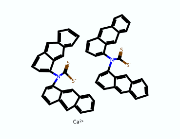 S=C([S-])N(c1cccc2cc3ccccc3cc12)c1cccc2cc3ccccc3cc12.S=C([S-])N(c1cccc2cc3ccccc3cc12)c1cccc2cc3ccccc3cc12.[Ca+2]